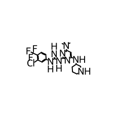 CN(C)c1cc(NC2CCCNC2)nc(NC(=N)Nc2ccc(C(F)(F)F)c(Cl)c2)n1